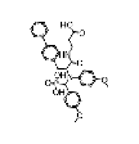 COc1ccc(C(N(c2ccc(OC)cc2)C(Cc2ccc(-c3ccccc3)cc2)C(=O)NCCC(=O)O)P(=O)(O)O)cc1